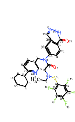 CCN(CC(=O)N(Cc1ccc(C2CCCCC2)nc1)c1ccc2c(=O)[nH]ncc2c1)Sc1c(F)c(F)c(F)c(F)c1F